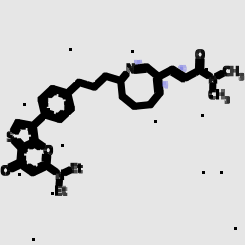 CCN(CC)c1cc(=O)c2scc(-c3ccc(CCCC4CCC/C=C(/C=C/C(=O)N(C)C)\C=N/4)cc3)c2o1